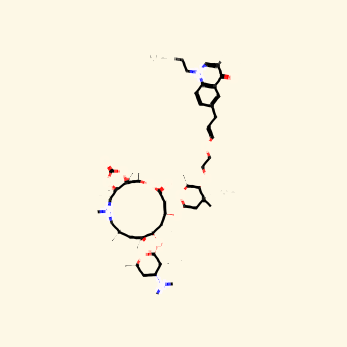 CC[C@H]1OC(=O)[C@H](C)[C@@H](O[C@H]2C[C@@](C)(OC)[C@@H](OCCOC=CCc3ccc4c(c3)c(=O)c(C(=O)O)cn4CCOC)[C@H](C)O2)[C@H](C)[C@@H](O[C@@H]2O[C@H](C)C[C@H](N(C)C)[C@H]2OC(C)=O)[C@](C)(O)C[C@@H](C)CN(C)[C@H](C)[C@H]2OC(=O)O[C@@]21C